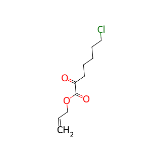 C=CCOC(=O)C(=O)CCCCCCl